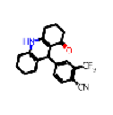 N#Cc1ccc(C2C3=C(CCCC3)NC3=C2C(=O)CCC3)cc1C(F)(F)F